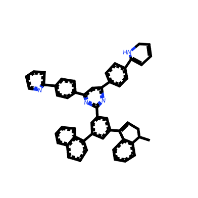 CC1CC=C(c2cc(-c3nc(-c4ccc(C5=CC=CCN5)cc4)cc(-c4ccc(-c5ccccn5)cc4)n3)cc(-c3cccc4ccccc34)c2)c2ccccc21